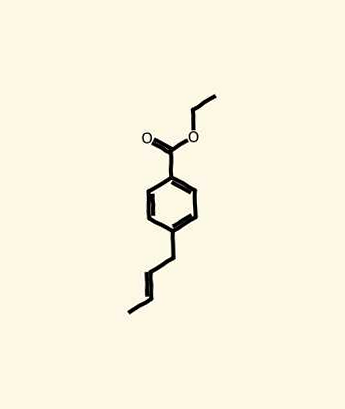 CC=CCc1ccc(C(=O)OCC)cc1